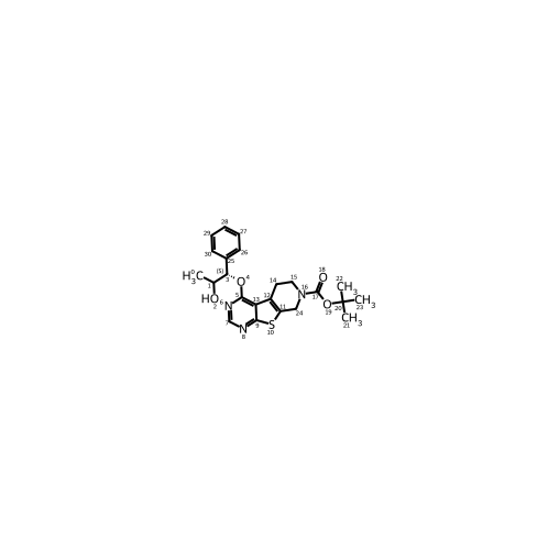 CC(O)[C@@H](Oc1ncnc2sc3c(c12)CCN(C(=O)OC(C)(C)C)C3)c1ccccc1